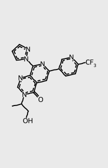 CC(CO)n1cnc2c(-n3cccn3)nc(-c3ccc(C(F)(F)F)nc3)cc2c1=O